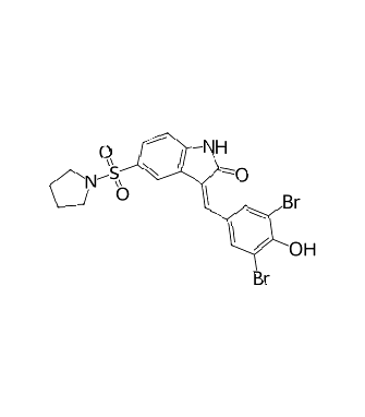 O=C1Nc2ccc(S(=O)(=O)N3CCCC3)cc2C1=Cc1cc(Br)c(O)c(Br)c1